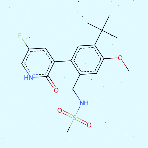 COc1cc(CNS(C)(=O)=O)c(-c2cc(F)c[nH]c2=O)cc1C(C)(C)C